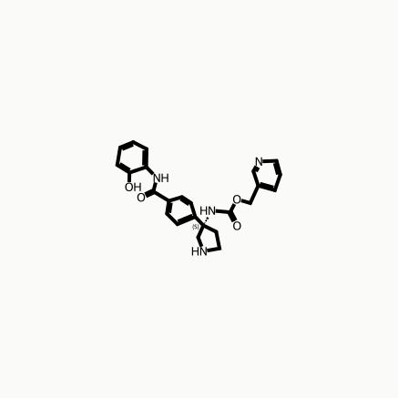 O=C(N[C@]1(c2ccc(C(=O)Nc3ccccc3O)cc2)CCNC1)OCc1cccnc1